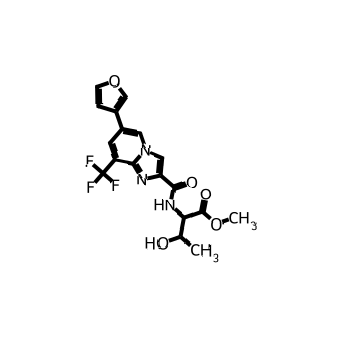 COC(=O)C(NC(=O)c1cn2cc(-c3ccoc3)cc(C(F)(F)F)c2n1)C(C)O